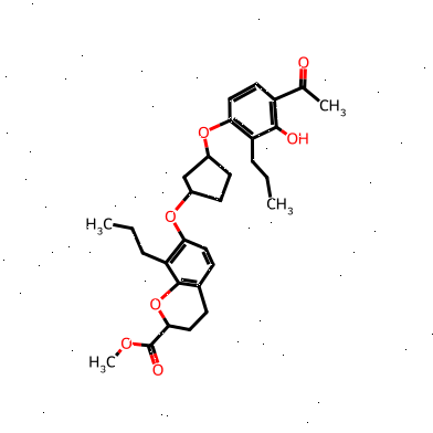 CCCc1c(OC2CCC(Oc3ccc4c(c3CCC)OC(C(=O)OC)CC4)C2)ccc(C(C)=O)c1O